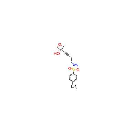 Cc1ccc(S(=O)(=O)NCCC#CC2(O)COC2)cc1